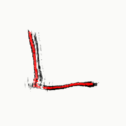 C=CC(=O)O.C=CC(=O)O.C=CC(=O)O.C=CC(=O)O.C=CC(=O)O.C=CC(=O)O.C=CC(=O)O.[Na+].[Na+].[Na+].[Na+].[Na+].[Na+].[Na+].[Na+].[Na+].[Na+].[Na+].[Na+].[Na+].[Na+].[Na+].[Na+].[Na+].[Na+].[Na+].[Na+].[Na+].[Na+].[Na+].[Na+].[Na+].[Na+].[Na+].[Na+].[Na+].[Na+].[Na+].[Na+].[Na+].[Na+].[Na+].[Na+].[Na+].[Na+].[Na+].[Na+].[Na+].[Na+].[Na+].[Na+].[Na+].[Na+].[Na+].[Na+].[Na+].[Na+].[Na+].[Na+].[Na+].[Na+].[Na+].[Na+].[Na+].[Na+].[Na+].[Na+].[Na+].[Na+].[Na+].[Na+].[Na+].[Na+].[Na+].[Na+].[Na+].[Na+].[Na+].[Na+].[Na+].[Na+].[Na+].[Na+].[Na+].[Na+].[Na+].[Na+].[Na+].[Na+].[Na+].[Na+].[Na+].[Na+].[Na+].[Na+].[Na+].[Na+].[Na+].[Na+].[Na+].[Na+].[Na+].[Na+].[Na+].[Na+].[Na+].[Na+]